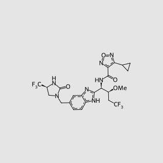 CO[C@@H](CC(F)(F)F)[C@H](NC(=O)c1nonc1C1CC1)c1nc2cc(CN3C[C@@H](C(F)(F)F)NC3=O)ccc2[nH]1